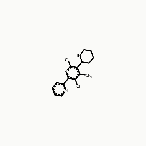 FC(F)(F)c1c(Cl)c(-c2ccccn2)nc(Cl)c1C1CCCCN1